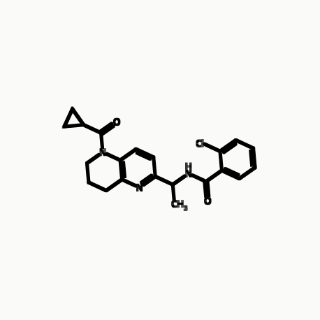 CC(NC(=O)c1ccccc1Cl)c1ccc2c(n1)CCCN2C(=O)C1CC1